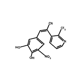 N#CC(=Cc1cc(O)c(O)c([N+](=O)[O-])c1)c1cccnc1C(F)(F)F